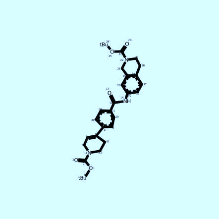 CC(C)(C)OC(=O)N1CC=C(c2ccc(C(=O)Nc3ccc4c(c3)CN(C(=O)OC(C)(C)C)CC4)cc2)CC1